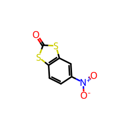 O=c1sc2ccc([N+](=O)[O-])cc2s1